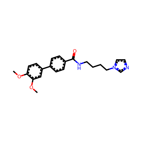 COc1ccc(-c2ccc(C(=O)NCCCCn3ccnc3)cc2)cc1OC